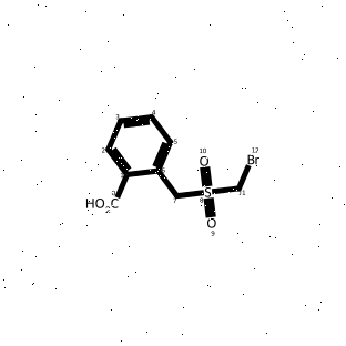 O=C(O)c1ccccc1CS(=O)(=O)CBr